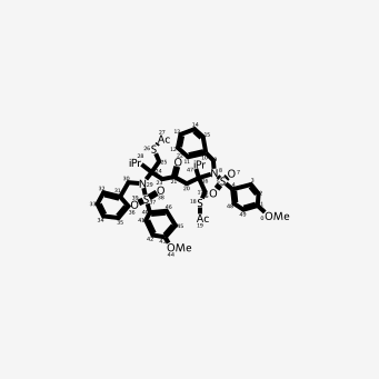 COc1ccc(S(=O)(=O)N(Cc2ccccc2)C(CSC(C)=O)(CC(=O)CC(CSC(C)=O)(C(C)C)N(Cc2ccccc2)S(=O)(=O)c2ccc(OC)cc2)C(C)C)cc1